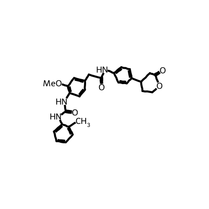 COc1cc(CC(=O)Nc2ccc(C3CCOC(=O)C3)cc2)ccc1NC(=O)Nc1ccccc1C